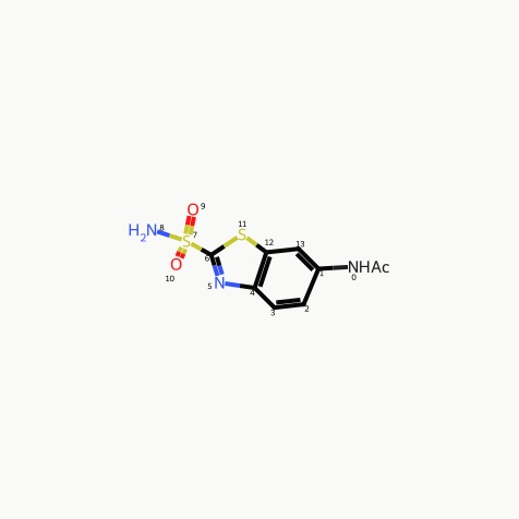 CC(=O)Nc1ccc2nc(S(N)(=O)=O)sc2c1